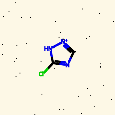 ClC1=N[C]=[N+]N1